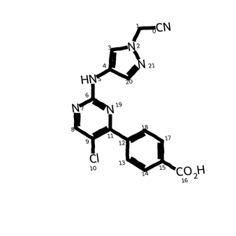 N#CCn1cc(Nc2ncc(Cl)c(-c3ccc(C(=O)O)cc3)n2)cn1